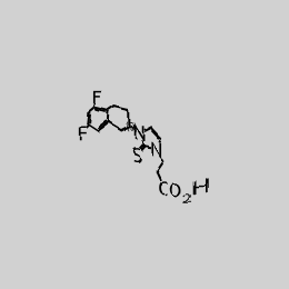 O=C(O)CCn1ccn([C@H]2CCc3c(F)cc(F)cc3C2)c1=S